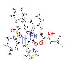 CC(C)CC(O)C(O)C(CC1CCCCC1)NC(=O)C(Cc1cscn1)NC(=O)C(Cc1ccccc1)CS(=O)(=O)N1CCN(C)CC1